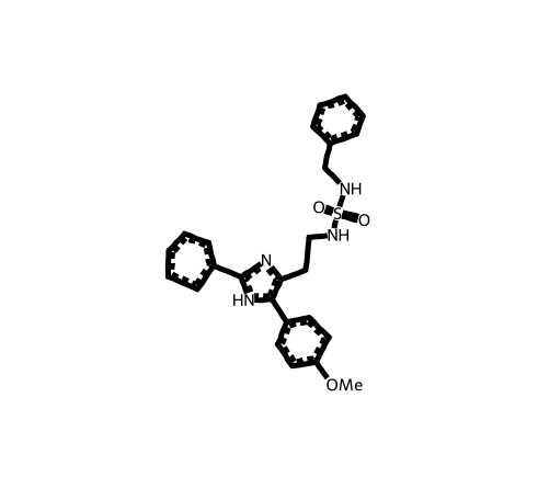 COc1ccc(-c2[nH]c(-c3ccccc3)nc2CCNS(=O)(=O)NCc2ccccc2)cc1